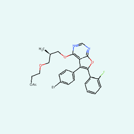 CCc1ccc(-c2c(-c3ccccc3F)oc3ncnc(OC[C@H](C)COCCOC(C)=O)c23)cc1